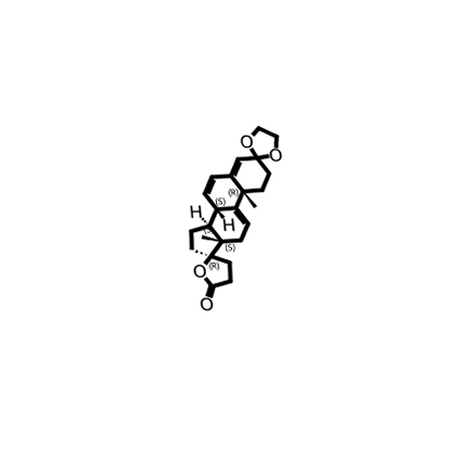 C[C@]12CCC3(C=C1C=C[C@@H]1C2=CC[C@@]2(C)[C@H]1CC[C@@]21CCC(=O)O1)OCCO3